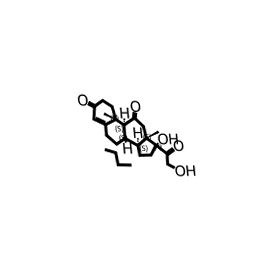 CCCC.C[C@]12CCC(=O)C=C1CC[C@@H]1[C@@H]2C(=O)C[C@@]2(C)[C@H]1CC[C@]2(O)C(=O)CO